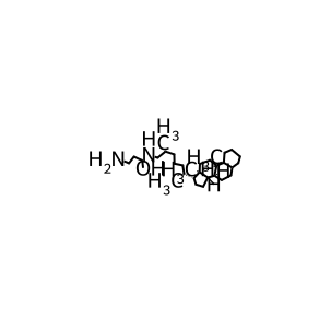 CC(CCCC(C)[C@H]1CC[C@H]2[C@@H]3CCC4CCCC[C@]4(C)[C@H]3CC[C@]12C)CNC(O)CCN